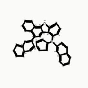 c1ccc(N(c2ccc3ccccc3c2)c2cccc3oc4c5ccccc5c(-c5ccc6ccccc6c5)cc4c23)cc1